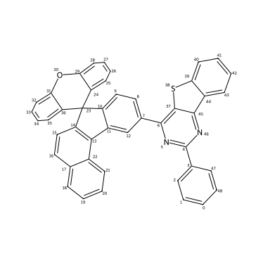 c1ccc(-c2nc(-c3ccc4c(c3)-c3c(ccc5ccccc35)C43c4ccccc4Oc4ccccc43)c3sc4ccccc4c3n2)cc1